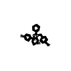 Fc1ccc([C@@]2(OCc3ccccc3)CCNC[C@@H]2OCc2ccc(Br)cc2)cc1